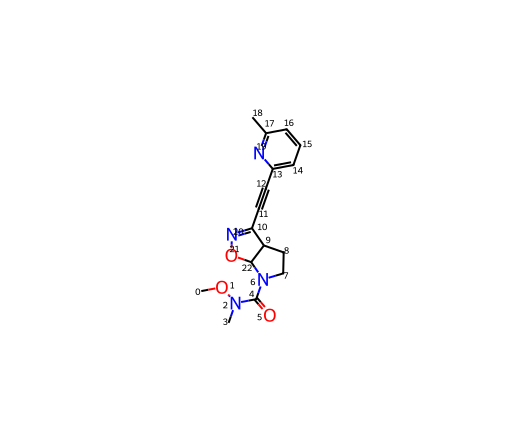 CON(C)C(=O)N1CCC2C(C#Cc3cccc(C)n3)=NOC21